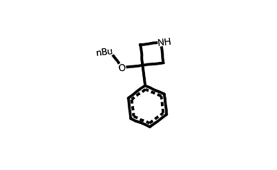 CCCCOC1(c2ccccc2)CNC1